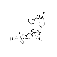 CC(C)C(=O)c1ccc(C(C)(C)CCCc2ccc(F)c(Oc3ccccc3)c2)cc1